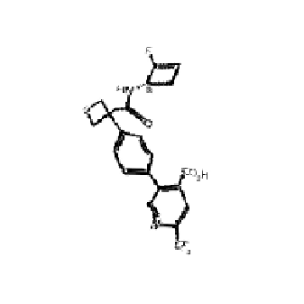 O=C(O)c1cc(C(F)(F)F)ncc1-c1ccc(C2(C(=O)N[C@H]3CC=C3F)COC2)cc1